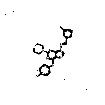 Cc1cccc(/C=N/n2cnc3c(Nc4ccc(Cl)cc4)nc(N4CCOCC4)nc32)c1